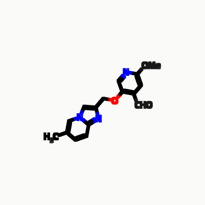 COc1cc(C=O)c(OCc2cn3cc(C)ccc3n2)cn1